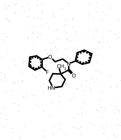 CC1(C(=O)N(CCOc2ccccc2F)c2ccccc2)CCNCC1